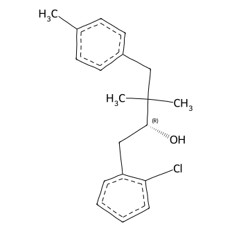 Cc1ccc(CC(C)(C)[C@H](O)Cc2ccccc2Cl)cc1